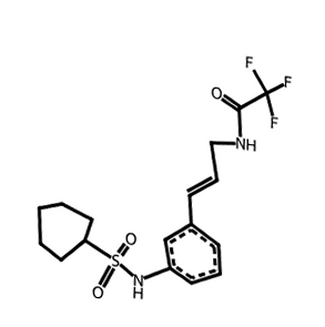 O=C(NC/C=C/c1cccc(NS(=O)(=O)C2CCCCC2)c1)C(F)(F)F